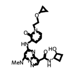 CNc1cc(Nc2cccn(CCOC3CC3)c2=O)nc2c(C(=O)N[C@H]3CC[C@@H]3O)cnn12